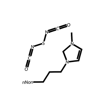 CCCCCCCCCCCCN1C=CN(C)C1.O=C=NSN=C=O